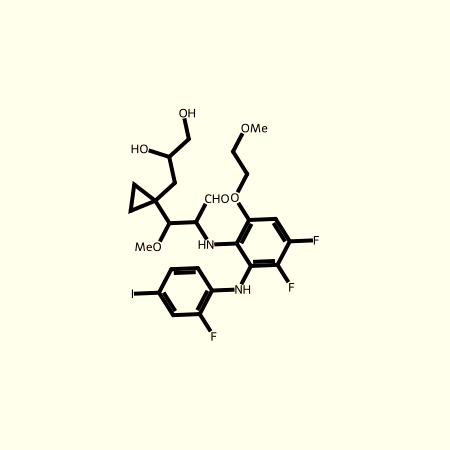 COCCOc1cc(F)c(F)c(Nc2ccc(I)cc2F)c1NC(C=O)C(OC)C1(CC(O)CO)CC1